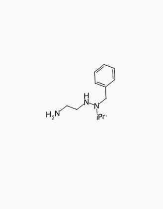 C[C](C)N(Cc1ccccc1)NCCN